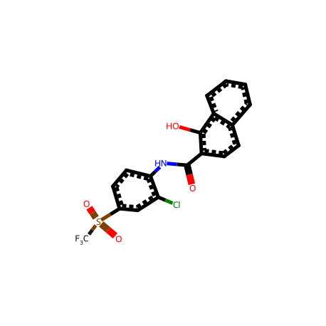 O=C(Nc1ccc(S(=O)(=O)C(F)(F)F)cc1Cl)c1ccc2ccccc2c1O